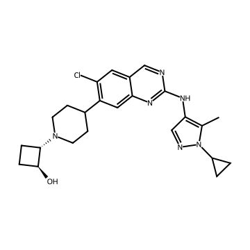 Cc1c(Nc2ncc3cc(Cl)c(C4CCN([C@H]5CC[C@@H]5O)CC4)cc3n2)cnn1C1CC1